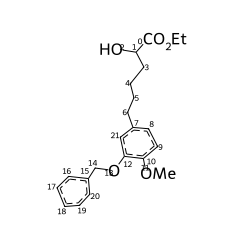 CCOC(=O)C(O)CCCCc1ccc(OC)c(OCc2ccccc2)c1